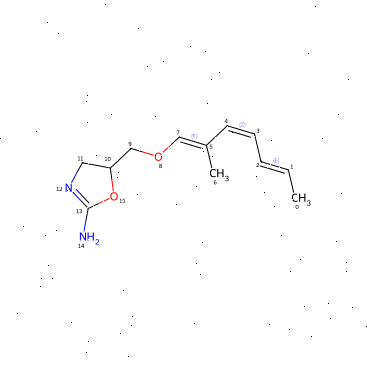 C/C=C/C=C\C(C)=C\OCC1CN=C(N)O1